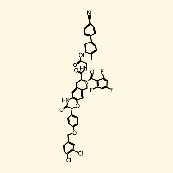 N#Cc1ccc(-c2ccc(C[C@H](NC(=O)C3Cc4cc5c(cc4CN3C(=O)c3c(F)cc(F)cc3F)O[C@@H](c3ccc(OCc4ccc(Cl)c(Cl)c4)cc3)C(=O)N5)C(=O)O)cc2)cc1